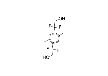 Cc1cc(C(F)(F)CO)c(C)cc1C(F)(F)CO